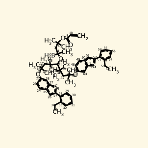 BC(C)(CC(C)(C)OC(=O)C=C)OC(C(C)(C)CC(C)(C)Oc1ccc2cc(-c3ccccc3CC)sc2c1)C(C)(C)CC(C)(C)Oc1ccc2cc(-c3ccccc3CC)sc2c1